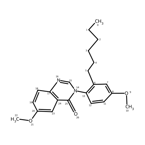 CCCCCCc1cc(OC)ccc1-n1cnc2ccc(OC)cc2c1=O